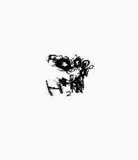 Cc1nc(C)c(-c2cc(C(F)(F)F)c3c(N)ncnn23)cc1C(=O)N1CCC[C@@H](Cc2ccc(F)cc2)C1